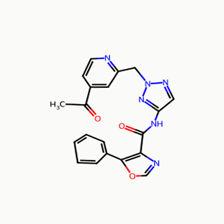 CC(=O)c1ccnc(Cn2ncc(NC(=O)c3ncoc3-c3ccccc3)n2)c1